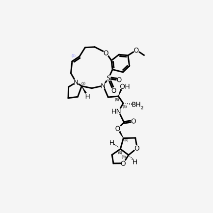 B[C@H](NC(=O)O[C@H]1CO[C@H]2OCC[C@H]21)[C@H](O)CN1C[C@@H]2CCCN2C/C=C/CCOc2cc(OC)ccc2S1(=O)=O